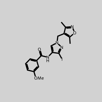 COc1cccc(C(=O)Nc2cn(Cc3c(C)noc3C)nc2I)c1